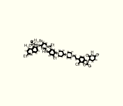 CCOc1cc(N2CCC(N3CCN(CCc4ccc5c(oc(=O)n5C5CCC(=O)NC5=O)c4Cl)CC3)CC2)c(CC)cc1Nc1ncc(Br)c(Nc2ccc3nc(CC)ccc3c2P(C)(C)=O)n1